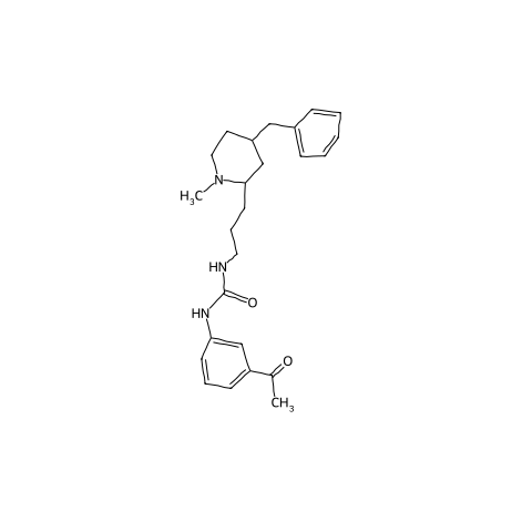 CC(=O)c1cccc(NC(=O)NCCCC2CC(Cc3ccccc3)CCN2C)c1